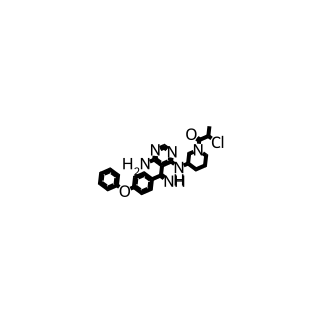 CC(Cl)C(=O)N1CCCC(Nc2ncnc(N)c2C(=N)c2ccc(Oc3ccccc3)cc2)C1